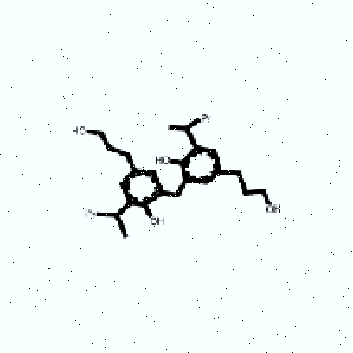 CC(C)C(C)c1cc(CCCO)cc(Cc2cc(CCCO)cc(C(C)C(C)C)c2O)c1O